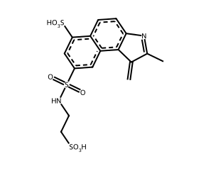 C=C1C(C)=Nc2ccc3c(S(=O)(=O)O)cc(S(=O)(=O)NCCS(=O)(=O)O)cc3c21